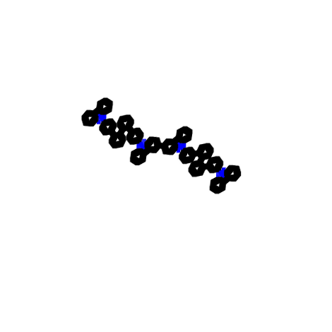 c1cc(-c2ccccc2-c2ccccc2-c2cccc(-n3c4ccccc4c4cc(-c5ccc6c(c5)c5ccccc5n6-c5ccc(-c6ccccc6-c6ccccc6-c6ccc(-n7c8ccccc8c8ccccc87)cc6)cc5)ccc43)c2)cc(-n2c3ccccc3c3ccccc32)c1